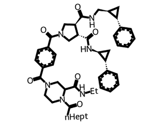 CCCCCCCC(=O)N1CCN(C(=O)c2ccc(C(=O)N3C[C@@H](C(=O)NC[C@H]4C[C@@H]4c4ccccc4)[C@H](C(=O)N[C@H]4C[C@@H]4c4ccccc4)C3)cc2)CC1C(=O)NCC